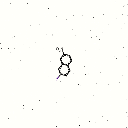 O=[N+]([O-])c1ccc2ccc(I)cc2c1